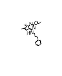 CCOc1nc(NCCCc2ccccc2)c2cc(C)sc2n1